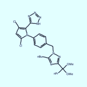 CCCCc1nc(C(CCC)(OC)OC)nn1Cc1ccc(-n2c(Cl)cc(Cl)c2-c2nnn[nH]2)cc1